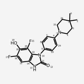 CC1(C)CCN(c2ccc(-n3c(=O)[nH]c4cc(F)c(O)c(F)c43)cc2)CC1